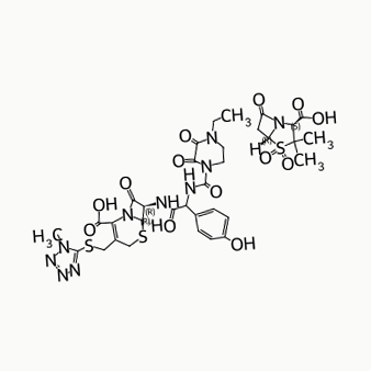 CC1(C)[C@H](C(=O)O)N2C(=O)C[C@H]2S1(=O)=O.CCN1CCN(C(=O)NC(C(=O)N[C@@H]2C(=O)N3C(C(=O)O)=C(CSc4nnnn4C)CS[C@H]23)c2ccc(O)cc2)C(=O)C1=O